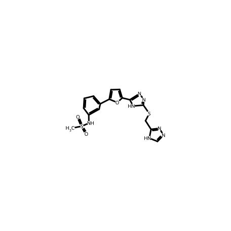 CS(=O)(=O)Nc1cccc(-c2ccc(-c3nnc(SCc4nnc[nH]4)[nH]3)o2)c1